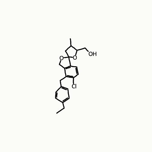 CCc1ccc(Cc2c(Cl)ccc3c2COC32CC(C)C(CO)O2)cc1